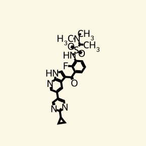 CC(N(C)C)S(=O)(=O)Nc1cccc(C(=O)c2c[nH]c3ncc(-c4cnc(C5CC5)nc4)cc23)c1F